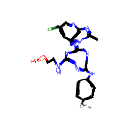 Cc1nc2ncc(Cl)cc2n1-c1nc(NCCO)nc(Nc2ccc(C(F)(F)F)cc2)n1